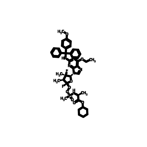 CCOc1nc(NC(c2ccccc2)(c2ccccc2)c2ccc(OC)cc2)nc2c1ncn2[C@@H]1O[C@](F)(OOP(C)(=O)N[C@@H](C)C(=O)OC2CCCCC2)[C@@H](C)[C@@]1(C)F